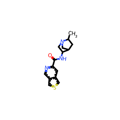 CC1CC2CN1CC2NC(=O)c1cc2cscc2cn1